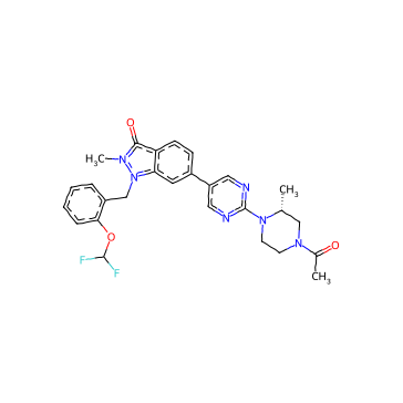 CC(=O)N1CCN(c2ncc(-c3ccc4c(=O)n(C)n(Cc5ccccc5OC(F)F)c4c3)cn2)[C@H](C)C1